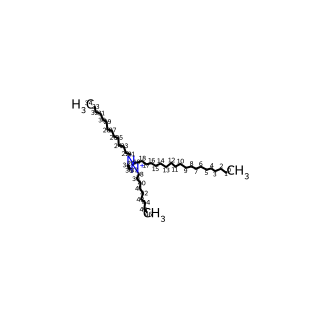 CCCCCCCCCCCCCCCCCCCc1n(CCCCCCCCCCCCCC)cc[n+]1CCCCCCCCC